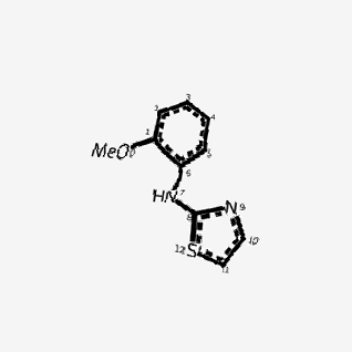 COc1ccccc1Nc1nccs1